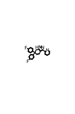 Fc1ccc(C2(c3ccc(F)cc3)C=Cc3c(-c4ccccn4)n[nH]c3C2)cc1